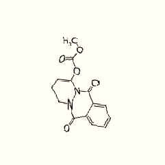 COC(=O)OC1=CCCn2c(=O)c3ccccc3c(=O)n21